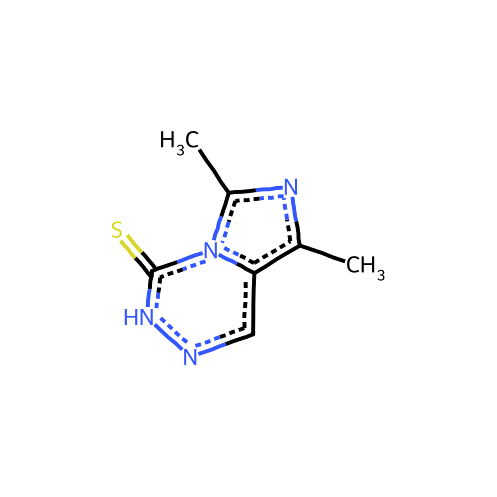 Cc1nc(C)n2c(=S)[nH]ncc12